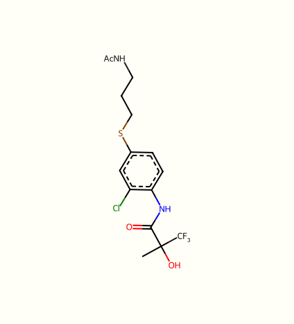 CC(=O)NCCCSc1ccc(NC(=O)C(C)(O)C(F)(F)F)c(Cl)c1